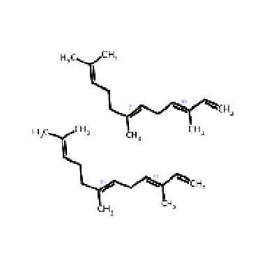 C=C/C(C)=C/C/C=C(\C)CCC=C(C)C.C=C/C(C)=C/C/C=C(\C)CCC=C(C)C